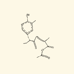 C=C(OC(C)=O)/C(C)=C\C(=C)C(C)c1ccc(O)c(C)c1